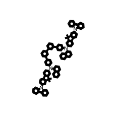 CC1(C)c2cc(N(c3ccc(-c4cccc(-c5cccc(-c6ccc(N(c7ccc8c(c7)C(C)(C)c7cc(-n9c%10ccccc%10c%10ccccc%109)ccc7-8)c7cccc8ccccc78)cc6)c5)c4)cc3)c3cccc4ccccc34)ccc2-c2ccc(-n3c4ccccc4c4ccccc43)cc21